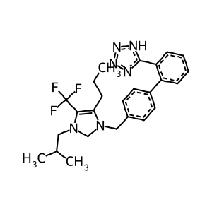 CCCC1=C(C(F)(F)F)N(CC(C)C)CN1Cc1ccc(-c2ccccc2-c2nnn[nH]2)cc1